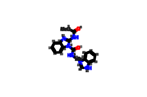 CCCCNC(=O)n1c(NC(=O)OC)nc2ccccc21.c1ccc2[nH]cnc2c1